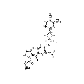 CC1(COc2cc(F)c(C(=O)N3CCC[C@H]3C(=O)OC(C)(C)C)cc2C2CC2)CN(c2cc(C(F)(F)F)c(Cl)cn2)C1